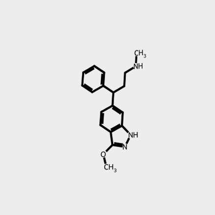 CNCCC(c1ccccc1)c1ccc2c(OC)n[nH]c2c1